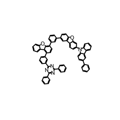 c1ccc(-c2ccc3c(c2)c2ccccc2n3-c2ccc3c(c2)oc2ccc(-c4cccc(-c5ccc(-c6cccc(-c7nc(-c8ccccc8)nc(-c8ccccc8)n7)c6)c6c5oc5ccccc56)c4)cc23)cc1